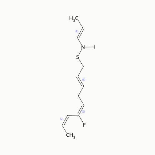 C/C=C\C(F)=C/C/C=C/CSN(I)/C=C/C